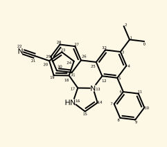 CC(C)c1cc(-c2ccccc2)c(N2C=CNC2C2=CC(C#N)=CC2)c(-c2ccccc2)c1